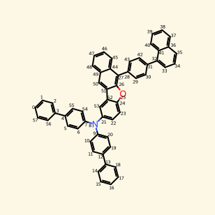 c1ccc(-c2ccc(N(c3ccc(-c4ccccc4)cc3)c3ccc4oc5c(-c6ccc(-c7cccc8ccccc78)cc6)c6ccccc6cc5c4c3)cc2)cc1